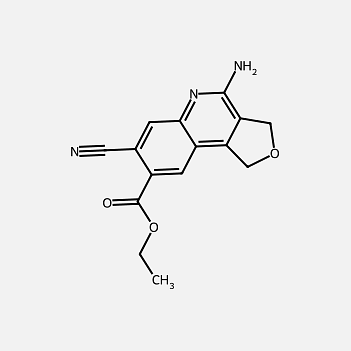 CCOC(=O)c1cc2c3c(c(N)nc2cc1C#N)COC3